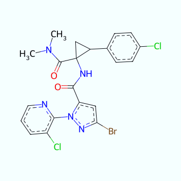 CN(C)C(=O)C1(NC(=O)c2cc(Br)nn2-c2ncccc2Cl)CC1c1ccc(Cl)cc1